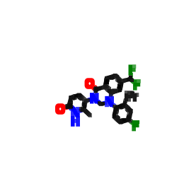 Cc1[nH]c(=O)ccc1N1CN(c2ccc(F)cc2C(C)C)c2cc(C(F)F)ccc2C1=O